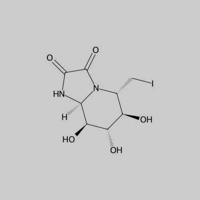 O=C1N[C@@H]2[C@H](O)[C@@H](O)[C@H](O)[C@@H](CI)N2C1=O